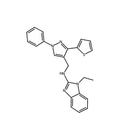 CCn1c(NCc2cn(-c3ccccc3)nc2-c2cccs2)nc2ccccc21